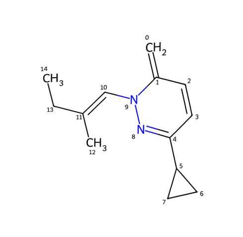 C=C1C=CC(C2CC2)=NN1/C=C(\C)CC